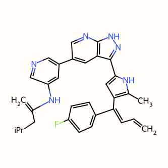 C=C/C=C(/c1ccc(F)cc1)c1cc(-c2n[nH]c3ncc(-c4cncc(NC(=C)CC(C)C)c4)cc23)[nH]c1C